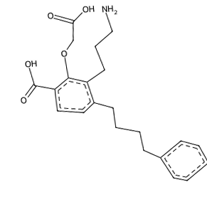 NCCCc1c(CCCCc2ccccc2)ccc(C(=O)O)c1OCC(=O)O